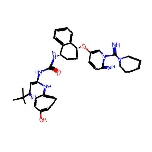 CC(C)(C)C(=N)/C=C(/NC(=O)N[C@H]1CC[C@@H](Oc2ccc(=N)n(C(=N)N3CCCCC3)c2)c2ccccc21)Nc1ccc(O)cc1